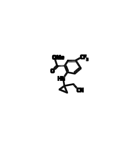 COC(=O)c1cc(C(F)(F)F)ccc1NC1(CC#N)CC1